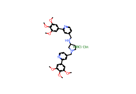 COc1cc(-c2cc(CNC3CCN(Cc4ccnc(-c5cc(OC)c(OC)c(OC)c5)c4)C3)ccn2)cc(OC)c1OC.Cl.Cl.Cl